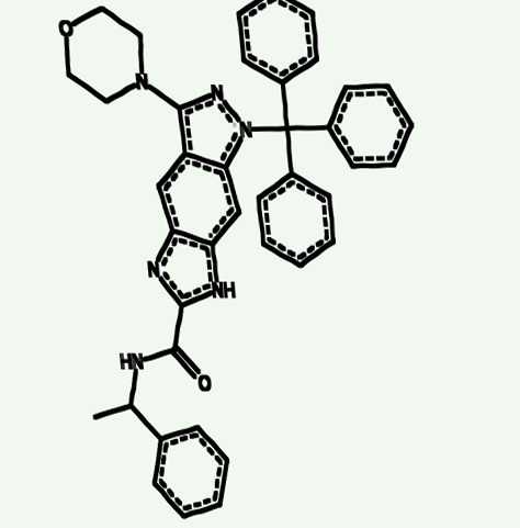 CC(NC(=O)c1nc2cc3c(N4CCOCC4)nn(C(c4ccccc4)(c4ccccc4)c4ccccc4)c3cc2[nH]1)c1ccccc1